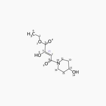 CCOC(=O)/C(O)=C/C(=O)N1CCC(O)CC1